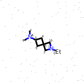 CCN1CC2(CC(N(C)C)C2)C1